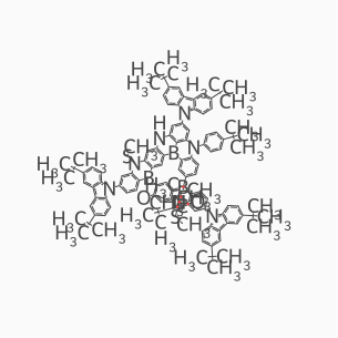 CSN1c2cc3c(cc2B2c4cc5c(cc4Oc4cc(-n6c7ccc(C(C)(C)C)cc7c7cc(C(C)(C)C)ccc76)cc1c42)N(SC)c1cc(-n2c4ccc(C(C)(C)C)cc4c4cc(C(C)(C)C)ccc42)cc2c1B5c1cc(C(C)(C)C)ccc1O2)B1c2cc(C(C)(C)C)ccc2N(c2ccc(C(C)(C)C)cc2)c2cc(-n4c5ccc(C(C)(C)C)cc5c5cc(C(C)(C)C)ccc54)cc(c21)N3